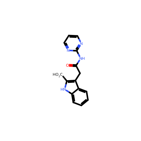 O=C(Cc1c(C(=O)O)[nH]c2ccccc12)Nc1ncccn1